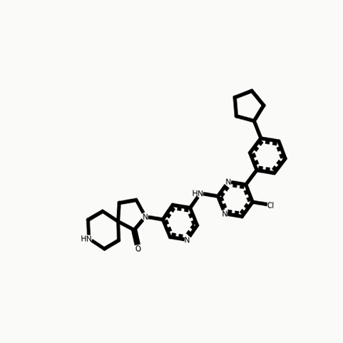 O=C1N(c2cncc(Nc3ncc(Cl)c(-c4cccc(C5CCCC5)c4)n3)c2)CCC12CCNCC2